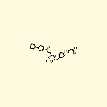 CCN(CC)CSOc1ccc(CC(NC(=O)CCC(=O)c2ccc(-c3ccccc3)cc2)C(=O)O)cc1